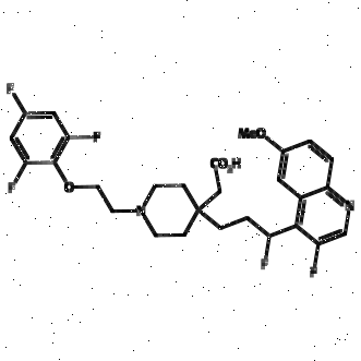 COc1ccc2ncc(F)c(C(F)CCC3(CC(=O)O)CCN(CCOc4c(F)cc(F)cc4F)CC3)c2c1